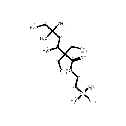 CCC(C)(C)CC(C)C(CC)(CC)C(=O)OCC[N+](C)(C)C